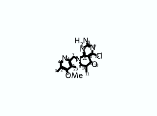 COc1c(C)cnc(CN2CC(C)C(=O)c3c(Cl)nc(N)nc32)c1C